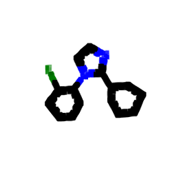 Fc1ccccc1-n1ccnc1-c1ccccc1